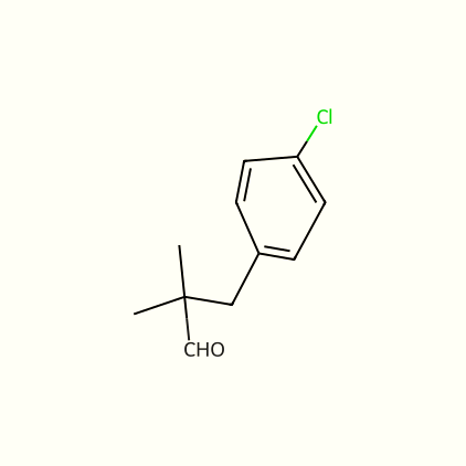 CC(C)(C=O)Cc1ccc(Cl)cc1